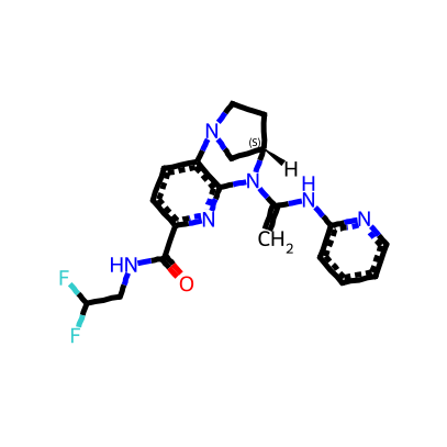 C=C(Nc1ccccn1)N1c2nc(C(=O)NCC(F)F)ccc2N2CC[C@H]1C2